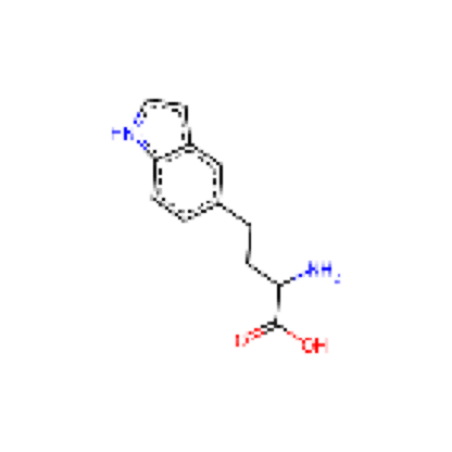 NC(CCc1ccc2[nH]ccc2c1)C(=O)O